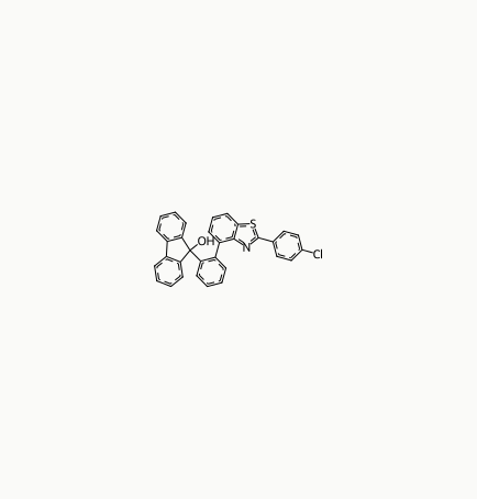 OC1(c2ccccc2-c2cccc3sc(-c4ccc(Cl)cc4)nc23)c2ccccc2-c2ccccc21